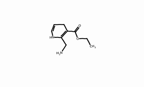 CCOC(=O)C1=C(CN)NC=CC1